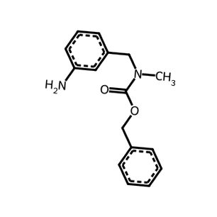 CN(Cc1cccc(N)c1)C(=O)OCc1ccccc1